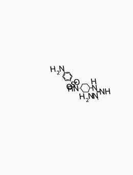 CN(N)C(=N)N[C@H]1CC[C@H](NS(=O)(=O)c2ccc(N)cc2)CC1